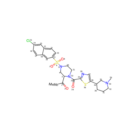 CNC(=O)C1CN(S(=O)(=O)c2ccc3cc(Cl)ccc3c2)CCN1C(=O)c1ncc(C2CCCN(C)C2)s1